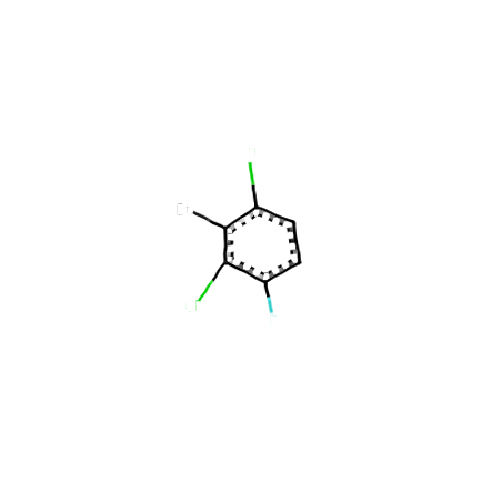 [CH2]Cc1c(Cl)ccc(F)c1Cl